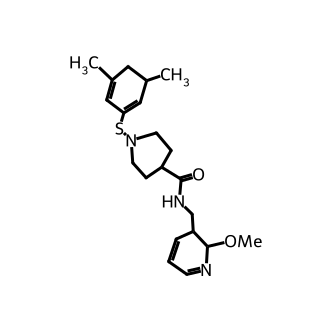 COC1N=CC=CC1CNC(=O)C1CCN(SC2=CC(C)CC(C)=C2)CC1